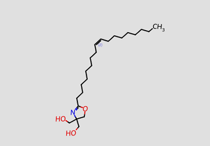 CCCCCCCC/C=C\CCCCCCCCC1=NC(CO)(CO)CO1